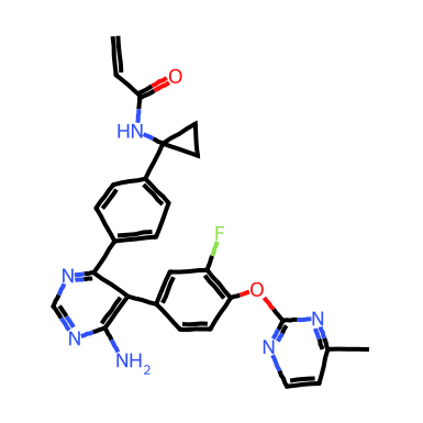 C=CC(=O)NC1(c2ccc(-c3ncnc(N)c3-c3ccc(Oc4nccc(C)n4)c(F)c3)cc2)CC1